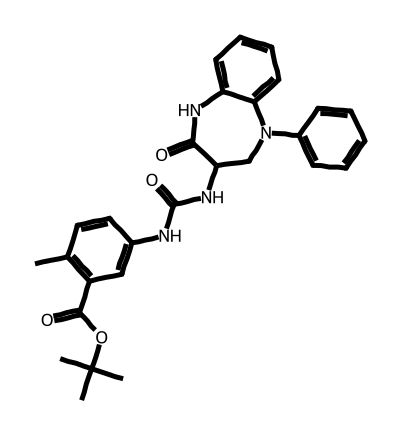 Cc1ccc(NC(=O)NC2CN(c3ccccc3)c3ccccc3NC2=O)cc1C(=O)OC(C)(C)C